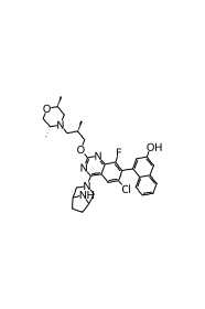 C[C@@H](COc1nc(N2CC3CCC(C2)N3)c2cc(Cl)c(-c3cc(O)cc4ccccc34)c(F)c2n1)CN1C[C@H](C)OC[C@H]1C